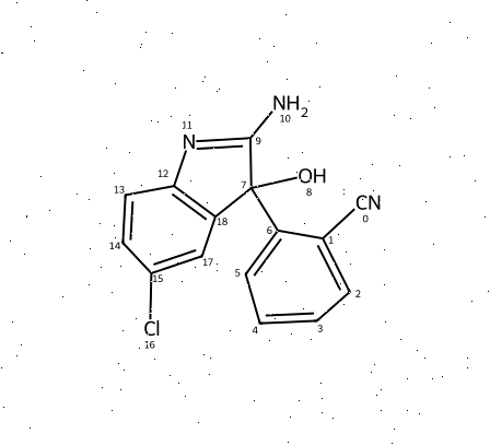 N#Cc1ccccc1C1(O)C(N)=Nc2ccc(Cl)cc21